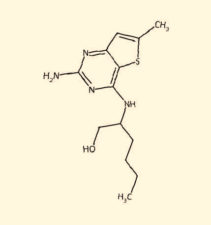 CCCCC(CO)Nc1nc(N)nc2cc(C)sc12